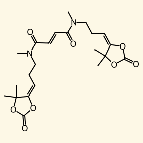 CN(CC/C=C1/OC(=O)OC1(C)C)C(=O)/C=C/C(=O)N(C)CC/C=C1/OC(=O)OC1(C)C